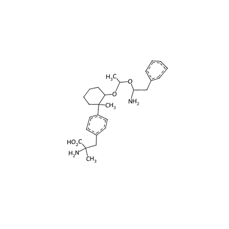 CC(OC(N)Cc1ccccc1)OC1CCCCC1(C)c1ccc(CC(C)(N)C(=O)O)cc1